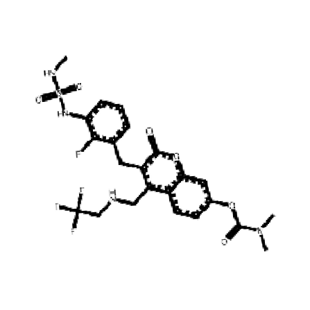 CNS(=O)(=O)Nc1cccc(Cc2c(CNCC(F)(F)F)c3ccc(OC(=O)N(C)C)cc3oc2=O)c1F